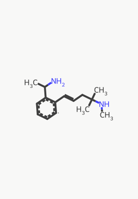 CNC(C)(C)C/C=C/c1[c]cccc1C(C)N